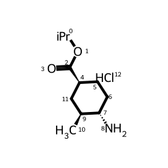 CC(C)OC(=O)[C@H]1CC[C@H](N)[C@@H](C)C1.Cl